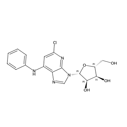 OC[C@H]1O[C@@H](n2cnc3c(Nc4ccccc4)cc(Cl)nc32)[C@H](O)[C@@H]1O